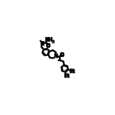 CCc1ccc(C[CH]C(=O)N2CCc3ccc(CN(C)C(N)=O)cc3CC2)cc1CC